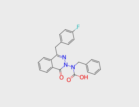 O=C(O)N(Cc1ccccc1)n1nc(Cc2ccc(F)cc2)c2ccccc2c1=O